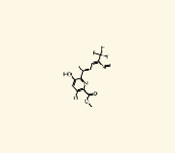 C=N/C(=C\C=C(/C)c1nc(C(=O)OC)c(Cl)cc1O)C(F)(F)F